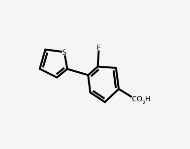 O=C(O)c1ccc(-c2cccs2)c(F)c1